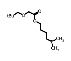 CP(C)CCCCOC(=O)COCC(C)(C)C